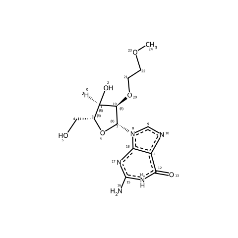 [2H][C@@]1(O)[C@@H](CO)O[C@@H](n2cnc3c(=O)[nH]c(N)nc32)[C@@H]1OCCOC